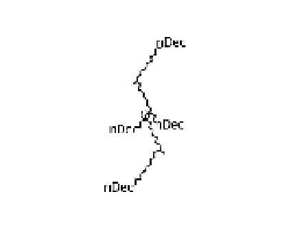 CCCCCCCCCCCCCCCCCCCCC(C)CCCCCCCC(CCCCCCCCCCCC)OC(CCCCCCCCCCCC)CCCCCCCC(C)CCCCCCCCCCCCCCCCCCCC